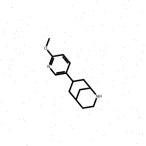 COc1ccc(C2CC3CCNC(C3)C2)cn1